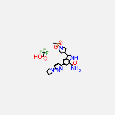 CCS(=O)(=O)N1CCC(c2c[nH]c3c(C(N)=O)cc(-c4ccc(N5CCCC5)nn4)cc23)CC1.O=C(O)C(F)(F)F